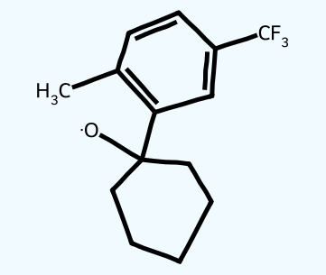 Cc1ccc(C(F)(F)F)cc1C1([O])CCCCC1